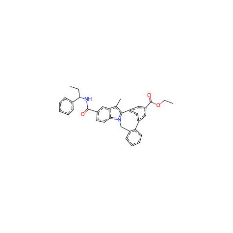 CCOC(=O)c1cc2cc(c1)-c1c(C)c3cc(C(=O)NC(CC)c4ccccc4)ccc3n1Cc1ccccc1-2